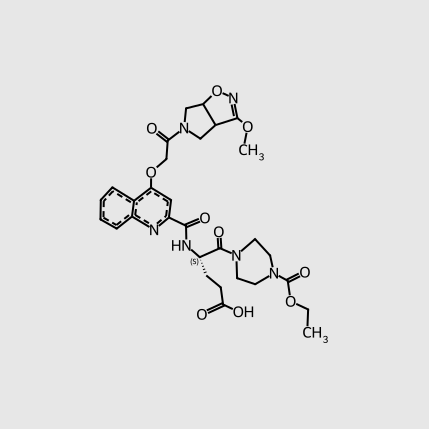 CCOC(=O)N1CCN(C(=O)[C@H](CCC(=O)O)NC(=O)c2cc(OCC(=O)N3CC4ON=C(OC)C4C3)c3ccccc3n2)CC1